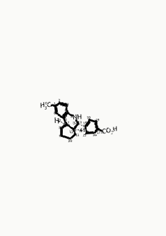 Cc1ccc2c(c1)[C@@H]1CCCC[C@@H]1[C@@H](c1ccc(C(=O)O)cc1)N2